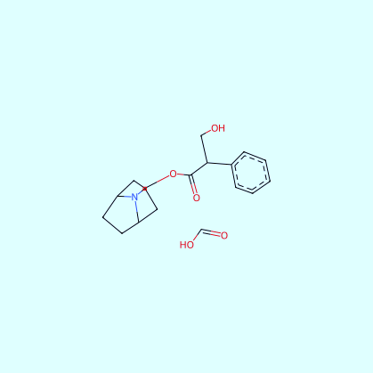 CN1C2CCC1CC(OC(=O)C(CO)c1ccccc1)C2.O=CO